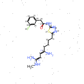 CN/C(N)=C/C=C(\N)CCCCc1nnc(NC(=O)Cc2cccc(F)c2)s1